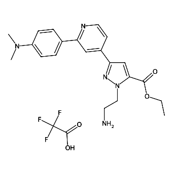 CCOC(=O)c1cc(-c2ccnc(-c3ccc(N(C)C)cc3)c2)nn1CCN.O=C(O)C(F)(F)F